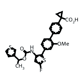 COc1cc(-c2sc(F)cc2NC(=O)OC(C)c2ccsc2)ccc1-c1ccc(C2(C(=O)O)CC2)cc1